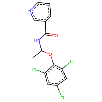 CC(NC(=O)c1cccnc1)Oc1c(Cl)cc(Cl)cc1Cl